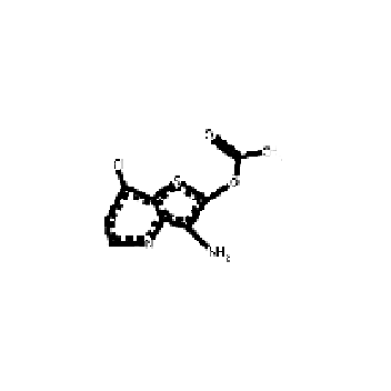 CC(=O)Oc1sc2c(Cl)ccnc2c1N